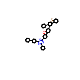 c1ccc(-c2ccc(-c3nc(-c4ccccc4)nc(-c4ccc5c(c4)oc4cc(-c6cc7c(cc6-c6ccccc6)sc6ccccc67)ccc45)n3)cc2)cc1